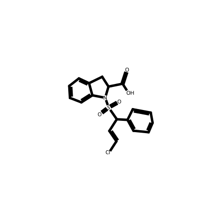 O=C(O)C1Cc2ccccc2N1S(=O)(=O)C(C=CCl)c1ccccc1